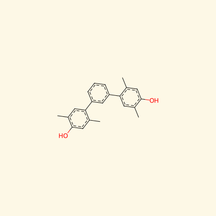 Cc1cc(-c2cccc(-c3cc(C)c(O)cc3C)c2)c(C)cc1O